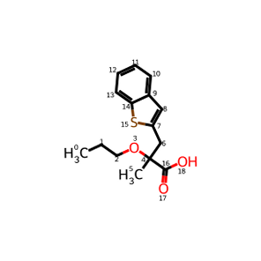 CCCOC(C)(Cc1cc2ccccc2s1)C(=O)O